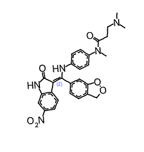 CN(C)CCC(=O)N(C)c1ccc(N/C(=C2\C(=O)Nc3cc([N+](=O)[O-])ccc32)c2ccc3c(c2)OOC3)cc1